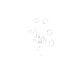 C=CCOC(=O)CNC(=O)C(=NNC(=O)NC(c1ccccc1)c1ccccc1)C(CCC)NC(=O)OCC1c2ccccc2-c2ccccc21